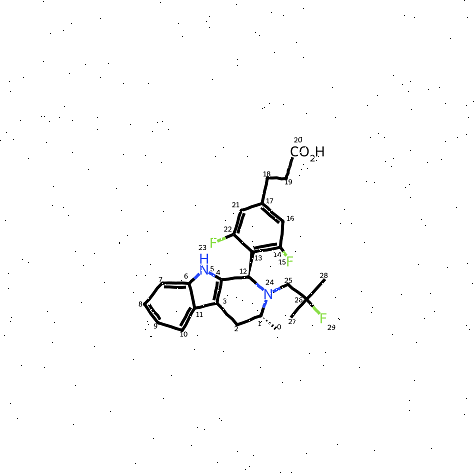 C[C@@H]1Cc2c([nH]c3ccccc23)[C@@H](c2c(F)cc(CCC(=O)O)cc2F)N1CC(C)(C)F